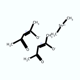 CC(=O)/C=C(/C)[O-].CC(=O)/C=C(/C)[O-].[CH3][Sn+2][CH3]